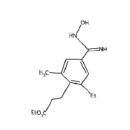 CCOC(=O)CCc1c(C)cc(C(=N)NO)cc1CC